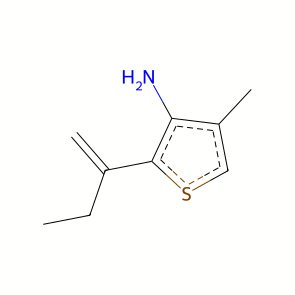 C=C(CC)c1scc(C)c1N